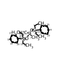 CC[Si](CC)(O[Si](C)(C)O[Si](CC)(CC)c1ccccc1)c1ccccc1